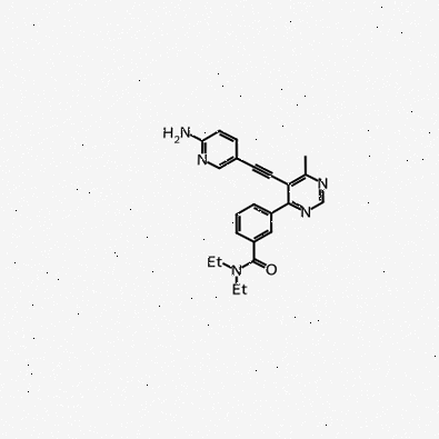 CCN(CC)C(=O)c1cccc(-c2ncnc(C)c2C#Cc2ccc(N)nc2)c1